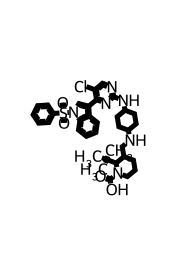 CC(C)(C)C1C(CNC2CCC(Nc3ncc(Cl)c(-c4cn(S(=O)(=O)c5ccccc5)c5ccccc45)n3)CC2)CCCN1C(=O)O